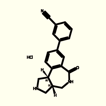 Cl.N#Cc1cccc(-c2ccc3c(c2)C(=O)NC[C@@H]2CNC[C@@H]32)c1